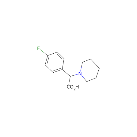 O=C(O)C(c1ccc(F)cc1)N1CCCCC1